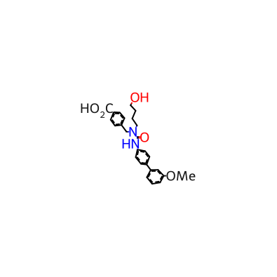 COc1cccc(-c2ccc(NC(=O)N(CCCCO)Cc3ccc(C(=O)O)cc3)cc2)c1